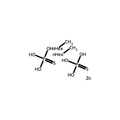 CCCCCCC.CCCCCCC.OP(O)(O)=S.OP(O)(O)=S.[Zn]